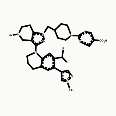 CC(=O)N1CCc2c(c(N3CCCc4cc(-c5cnn(C)c5)c(C(F)F)cc43)nn2CC2CCN(c3ncc(C(=O)O)cn3)CC2)C1